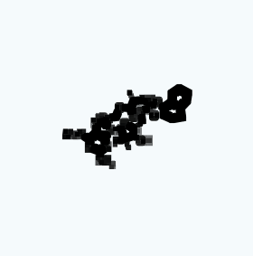 CNc1nc(N)nc2c1ncn2[C@@H]1O[C@H](CO[P@](=O)(N[C@@H](C)C(=O)OCC(C)(C)C)Oc2cccc3ccccc23)[C@@H](O)[C@@]1(C)F